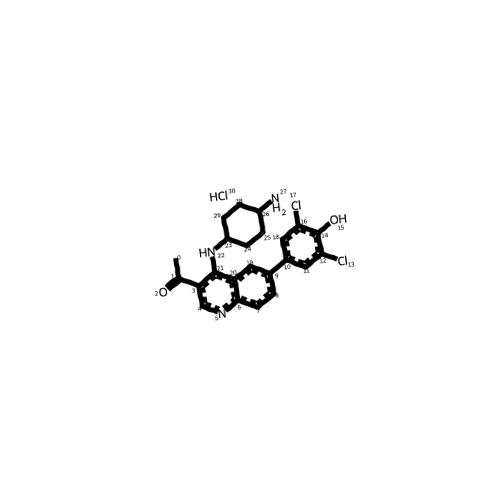 CC(=O)c1cnc2ccc(-c3cc(Cl)c(O)c(Cl)c3)cc2c1NC1CCC(N)CC1.Cl